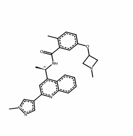 Cc1ccc(OC2CN(C)C2)cc1C(=O)N[C@H](C)c1cc(-c2cnn(C)c2)nc2ccccc12